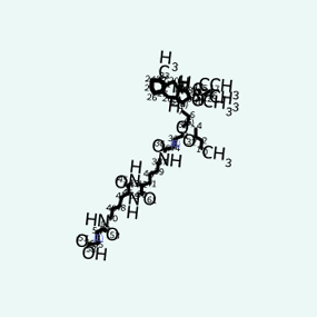 CCCCC[C@@H](CC[C@H]1C(O[Si](C)(C)C(C)(C)C)C[C@@H]2Cc3c(C)cccc3C[C@@H]21)OC(=O)/C=C/C(=O)NCCCCC1NC(=O)C(CCCCNC(=O)/C=C/C(=O)O)NC1=O